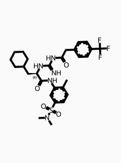 Cc1ccc(S(=O)(=O)N(C)C)cc1NC(=O)[C@@H](CC1CCCCC1)NC(=N)NC(=O)Cc1ccc(C(F)(F)F)cc1